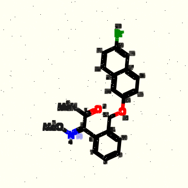 CNC(=O)/C(=N\OC)c1ccccc1COc1ccc2cc(Br)ccc2c1